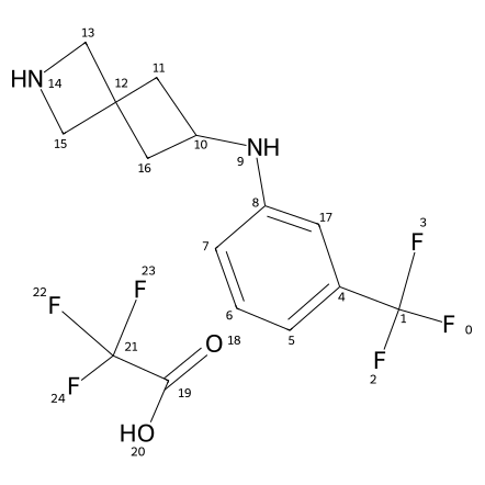 FC(F)(F)c1cccc(NC2CC3(CNC3)C2)c1.O=C(O)C(F)(F)F